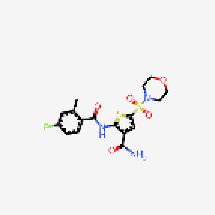 Cc1cc(F)ccc1C(=O)Nc1sc(S(=O)(=O)N2CCOCC2)cc1C(N)=O